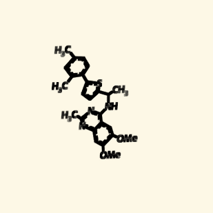 COc1cc2nc(C)nc(NC(C)c3ccc(-c4ccc(C)cc4C)s3)c2cc1OC